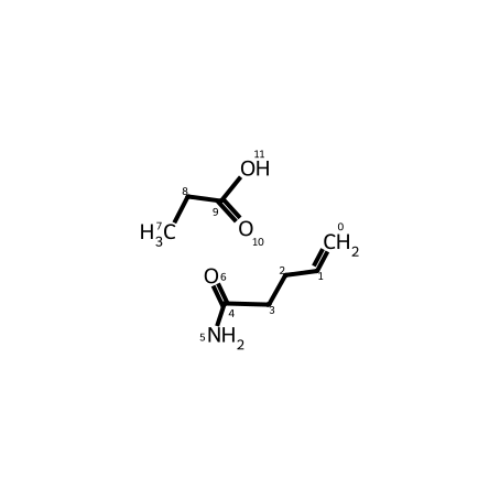 C=CCCC(N)=O.CCC(=O)O